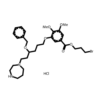 COc1cc(C(=O)OCCCBr)cc(OCCCC(CCN2CCCNCC2)OCc2ccccc2)c1OC.Cl